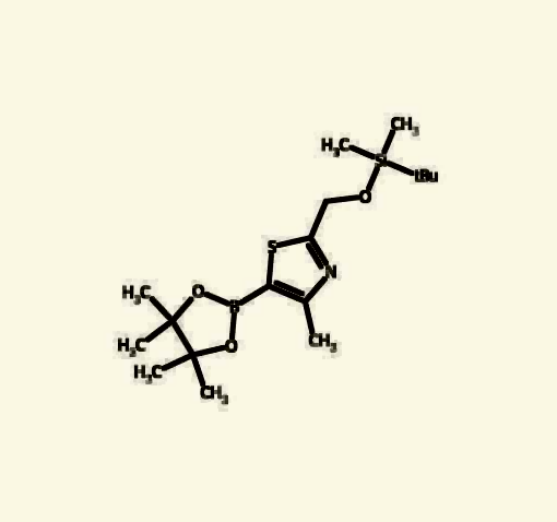 Cc1nc(CO[Si](C)(C)C(C)(C)C)sc1B1OC(C)(C)C(C)(C)O1